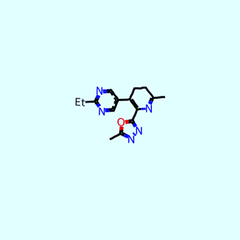 CCc1ncc(C2=C(c3nnc(C)o3)N=C(C)CC2)cn1